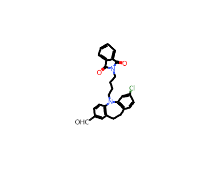 O=Cc1ccc2c(c1)CCc1ccc(Cl)cc1N2CCCCN1C(=O)c2ccccc2C1=O